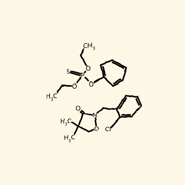 CC1(C)CON(Cc2ccccc2Cl)C1=O.CCOP(=S)(OCC)Oc1ccccc1